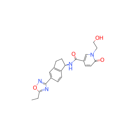 CCc1nc(-c2ccc3c(c2)CC[C@H]3NC(=O)c2ccc(=O)n(CCO)c2)no1